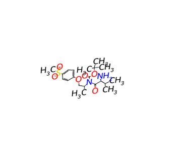 CC(C)[C@H](N)C(=O)N(C(=O)OC(C)(C)C)C(C)COc1ccc(S(C)(=O)=O)cc1